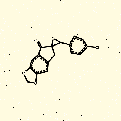 O=C1c2cc3c(cc2CC12OC2c1ccc(Cl)cc1)OCO3